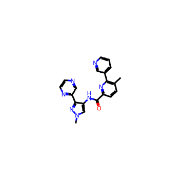 Cc1ccc(C(=O)Nc2cn(C)nc2-c2cnccn2)nc1-c1cccnc1